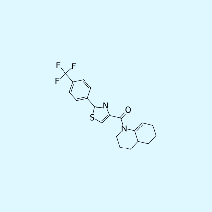 O=C(c1csc(-c2ccc(C(F)(F)F)cc2)n1)N1CCCC2CCCC=C21